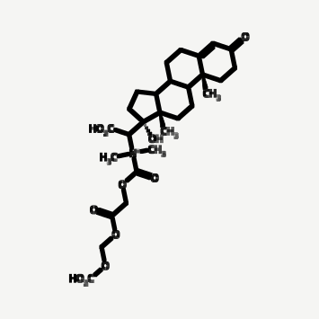 C[C@]12CCC(=O)C=C1CCC1C2CC[C@@]2(C)C1CC[C@]2(O)C(C(=O)O)[N+](C)(C)C(=O)OCC(=O)OCOC(=O)O